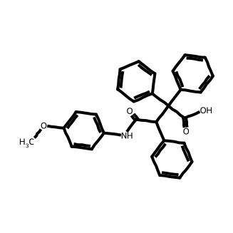 COc1ccc(NC(=O)C(c2ccccc2)C(C(=O)O)(c2ccccc2)c2ccccc2)cc1